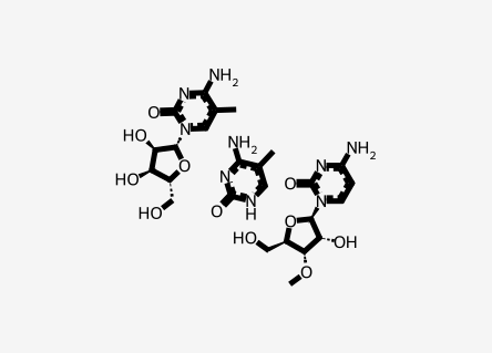 CO[C@H]1[C@@H](O)[C@H](n2ccc(N)nc2=O)O[C@@H]1CO.Cc1c[nH]c(=O)nc1N.Cc1cn([C@@H]2O[C@H](CO)[C@@H](O)[C@H]2O)c(=O)nc1N